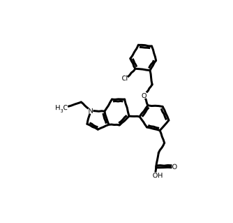 CCn1ccc2cc(-c3cc(CCC(=O)O)ccc3OCc3ccccc3Cl)ccc21